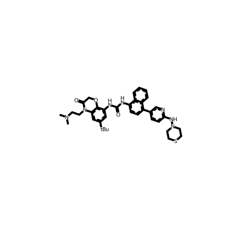 CN(C)CCN1C(=O)COc2c(NC(=O)Nc3ccc(-c4ccc(NN5CCSCC5)nc4)c4ccccc34)cc(C(C)(C)C)cc21